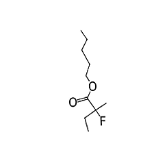 CCCCCOC(=O)C(C)(F)CC